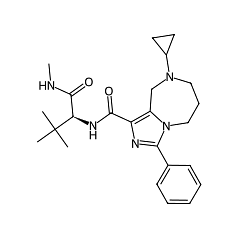 CNC(=O)[C@@H](NC(=O)c1nc(-c2ccccc2)n2c1CN(C1CC1)CCC2)C(C)(C)C